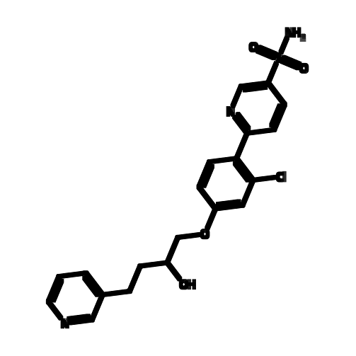 NS(=O)(=O)c1ccc(-c2ccc(OCC(O)CCc3cccnc3)cc2Cl)nc1